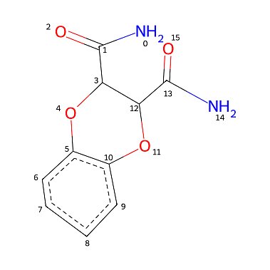 NC(=O)C1Oc2ccccc2OC1C(N)=O